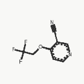 N#Cc1cnccc1OCC(F)(F)F